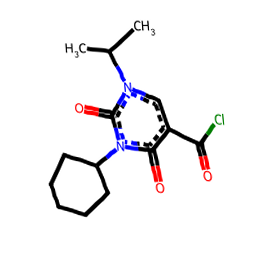 CC(C)n1cc(C(=O)Cl)c(=O)n(C2CCCCC2)c1=O